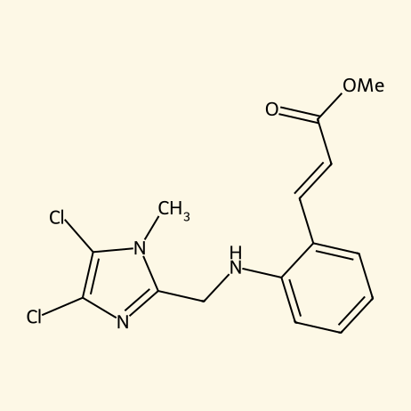 COC(=O)C=Cc1ccccc1NCc1nc(Cl)c(Cl)n1C